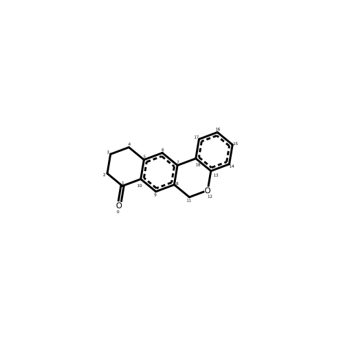 O=C1CCCc2cc3c(cc21)COc1ccccc1-3